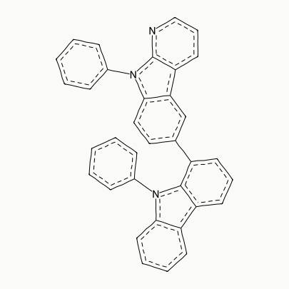 c1ccc(-n2c3ccc(-c4cccc5c6ccccc6n(-c6ccccc6)c45)cc3c3cccnc32)cc1